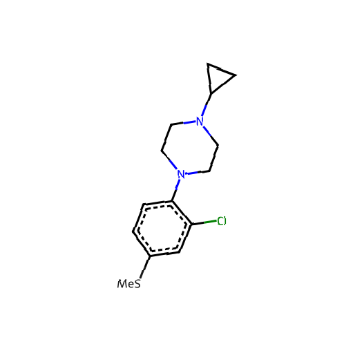 CSc1ccc(N2CCN(C3CC3)CC2)c(Cl)c1